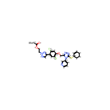 CNC(=O)OCCn1ncc(-c2cc(F)c(OCc3nnc(S[C@H]4C=CCCC4)n3-c3cccnc3)cc2F)n1